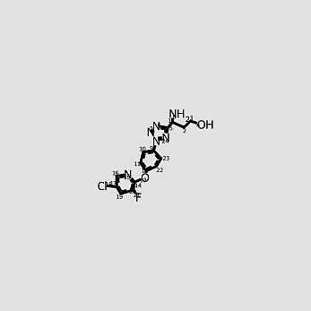 NC(CCO)c1nnn(-c2ccc(Oc3ncc(Cl)cc3F)cc2)n1